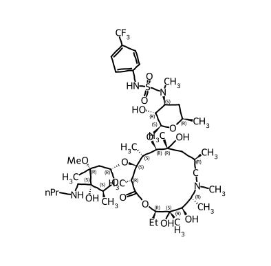 CCCNC[C@]1(O)[C@H](C)O[C@@H](O[C@H]2[C@H](C)[C@@H](O[C@@H]3O[C@H](C)C[C@H](N(C)S(=O)(=O)Nc4ccc(C(F)(F)F)cc4)[C@H]3O)[C@](C)(O)C[C@@H](C)CN(C)[C@H](C)[C@@H](O)[C@](C)(O)[C@@H](CC)OC(=O)[C@@H]2C)C[C@@]1(C)OC